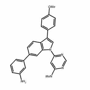 CNc1cc(-n2cc(-c3ccc(OC)cc3)c3ccc(-c4cccc(N)c4)cc32)ncn1